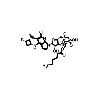 CCCCCC(=O)OCOP(=O)(O)CS(=O)(=O)C[C@H]1O[C@@H](n2ccc3c(N[C@H]4C[C@@H](F)C4)c(C#N)c(Cl)nc32)[C@H](O)[C@@H]1O